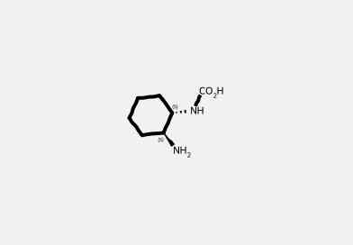 N[C@H]1CCCC[C@@H]1NC(=O)O